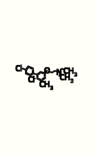 CCN(CC)CCOc1cc(C)[c]c(-c2ccc(Cl)cc2Cl)c1